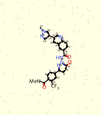 CNC(=O)c1ccc(-c2ccc(=O)n(NC(=O)c3ccc4ncc(-c5cnn(C)c5)cc4c3)n2)cc1C(F)(F)F